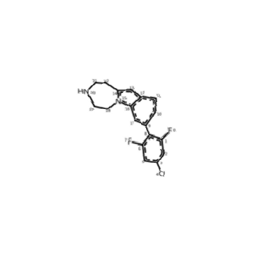 Fc1cc(Cl)cc(F)c1-c1ccc2cc3n(c2c1)CCNCC3